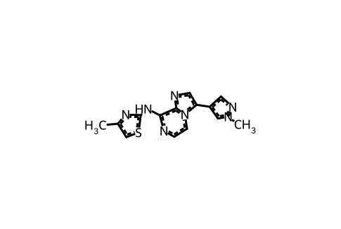 Cc1csc(Nc2nccn3c(-c4cnn(C)c4)cnc23)n1